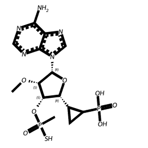 CO[C@H]1[C@@H](OP(C)(=O)S)[C@@H](C2CC2P(=O)(O)O)O[C@H]1n1cnc2c(N)ncnc21